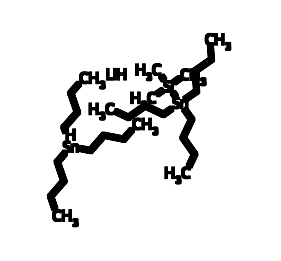 CCC[CH2][SnH]([CH2]CCC)[CH2]CCC.CCC[CH2][Sn]([CH2]CCC)([CH2]CCC)[Si](C)(C)C.[LiH]